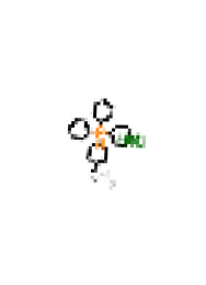 Cc1ccc([PH](c2ccccc2)(c2ccccc2)c2ccccc2)cc1.Cl.Cl